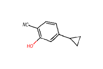 N#Cc1ccc(C2CC2)cc1O